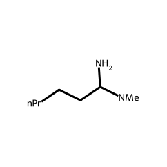 CCCCCC(N)NC